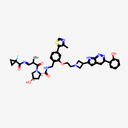 Cc1ncsc1-c1ccc(CNC(=O)[C@@H]2C[C@@H](O)CN2C(=O)C(C=NC(=O)C2(F)CC2)C(C)(C)C)c(OCCN2CC(c3cc4cc(-c5ccccc5O)nnc4[nH]3)C2)c1